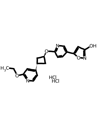 CCOc1cc([C@H]2C[C@H](Oc3ccc(-c4cc(O)no4)cn3)C2)ccn1.Cl.Cl